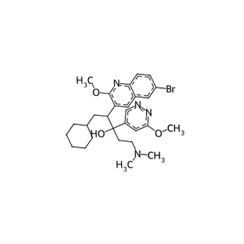 COc1cc(C(O)(CCN(C)C)C(CC2CCCCC2)c2cc3cc(Br)ccc3nc2OC)cnn1